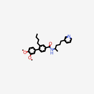 CCCCc1cc(C(=O)NC(C)CCCc2cccnc2)ccc1-c1ccc(OC)c(OC)c1